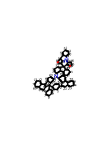 c1ccc(C2(c3ccccc3)c3cc(N(c4ccc5c(ccc6ccccc65)c4)c4cccc5c4-c4ccccc4C54c5ccccc5-n5c6ccccc6c6cccc4c65)ccc3-c3c2ccc2ccccc32)cc1